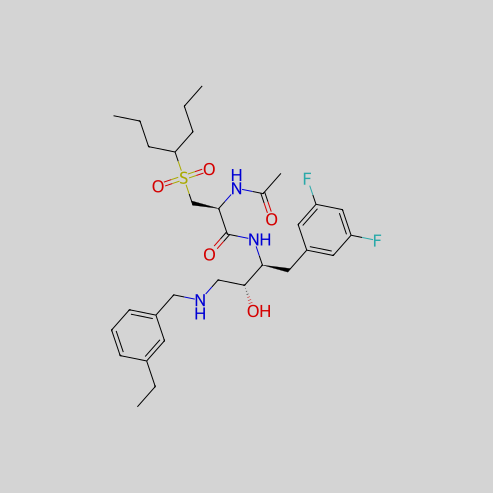 CCCC(CCC)S(=O)(=O)C[C@@H](NC(C)=O)C(=O)N[C@@H](Cc1cc(F)cc(F)c1)[C@H](O)CNCc1cccc(CC)c1